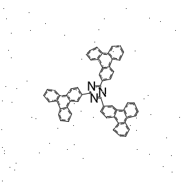 c1ccc2c(c1)c1ccccc1c1cc(-c3nc(-c4ccc5c6ccccc6c6ccccc6c5c4)nc(-c4ccc5c6ccccc6c6ccccc6c5c4)n3)ccc21